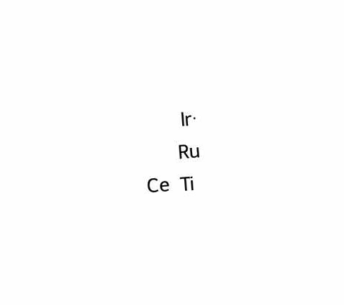 [Ce].[Ir].[Ru].[Ti]